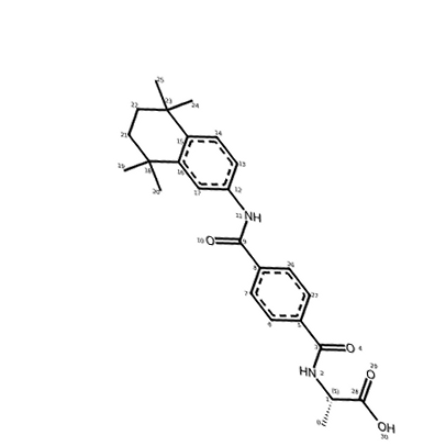 C[C@H](NC(=O)c1ccc(C(=O)Nc2ccc3c(c2)C(C)(C)CCC3(C)C)cc1)C(=O)O